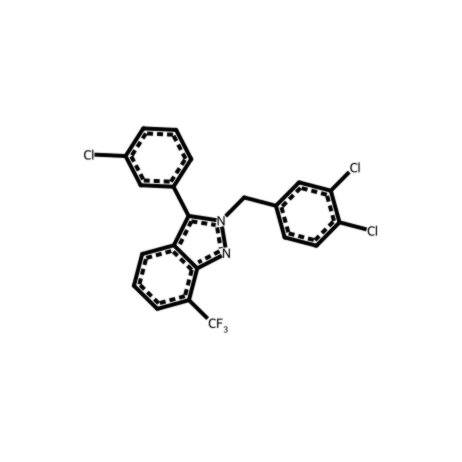 FC(F)(F)c1cccc2c(-c3cccc(Cl)c3)n(Cc3ccc(Cl)c(Cl)c3)nc12